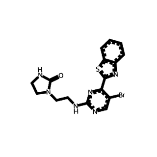 O=C1NCCN1CCNc1ncc(Br)c(-c2nc3ccccc3s2)n1